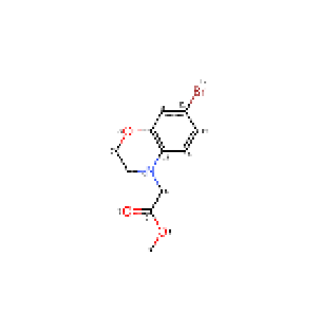 COC(=O)CN1CCOc2cc(Br)ccc21